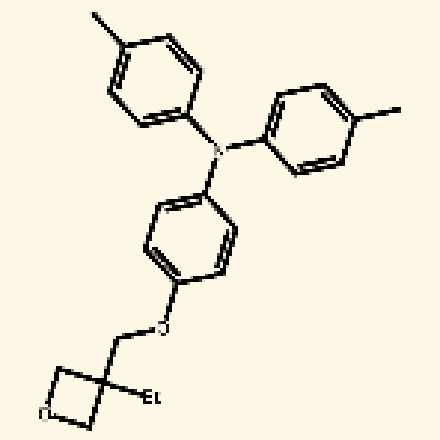 CCC1(COc2ccc(N(c3ccc(C)cc3)c3ccc(C)cc3)cc2)COC1